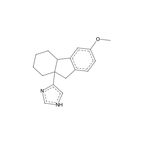 COc1ccc2c(c1)C1CCCCC1(c1c[nH]cn1)C2